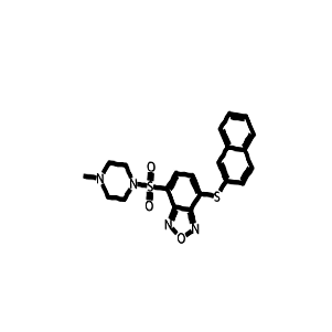 CN1CCN(S(=O)(=O)c2ccc(Sc3ccc4ccccc4c3)c3nonc23)CC1